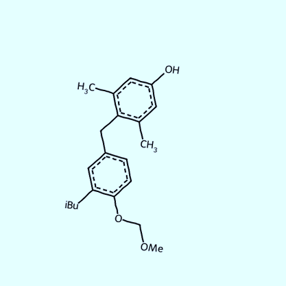 CCC(C)c1cc(Cc2c(C)cc(O)cc2C)ccc1OCOC